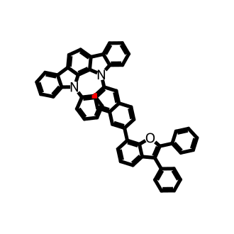 c1ccc(-c2oc3c(-c4ccc5cc(-n6c7ccccc7c7ccc8c9ccccc9n(-c9ccccc9)c8c76)ccc5c4)cccc3c2-c2ccccc2)cc1